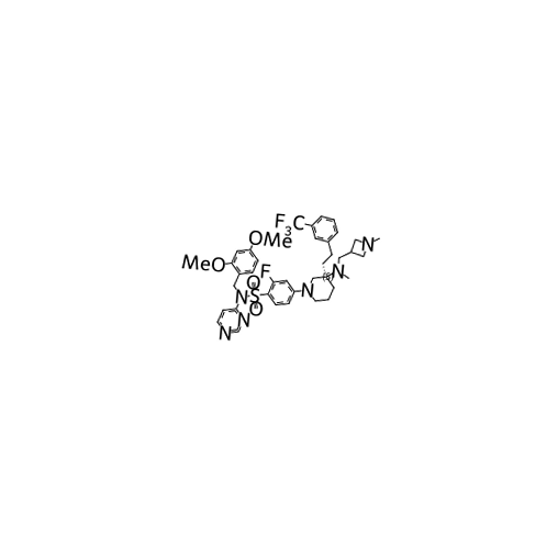 COc1ccc(CN(c2ccncn2)S(=O)(=O)c2ccc(N3CCC[C@](CCc4cccc(C(F)(F)F)c4)(N(C)CC4CN(C)C4)C3)cc2F)c(OC)c1